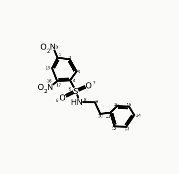 O=[N+]([O-])c1ccc(S(=O)(=O)NCCc2ccccc2)c([N+](=O)[O-])c1